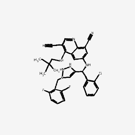 CC(C)(C)CNc1c(C#N)cnc2c(C#N)cc(N[C@H](C3=CN(Cc4c(F)cccc4F)NN3)c3ccccc3Cl)cc12